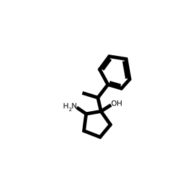 CC(c1ccccc1)C1(O)CCCC1N